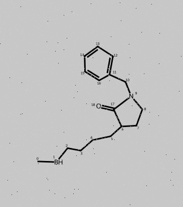 CBCCCCC1CCN(Cc2ccccc2)C1=O